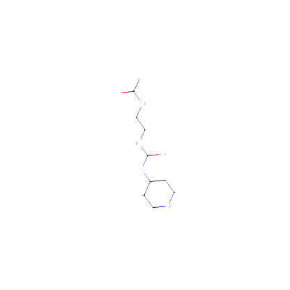 CC(O)NCCNC(O)NC1CCNCC1